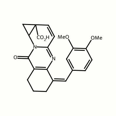 COc1ccc(/C=C2/CCCc3c2nc2n(c3=O)C3CC3(C(=O)O)C=C2)cc1OC